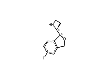 Fc1ccc2c(c1)CO[C@@H]2[C@@H]1CCN1